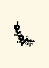 COC(=O)N(c1ccc(NC(=O)Cc2ccc(F)cc2)cc1)[C@H](C(=O)O)C(C)O